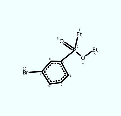 CCOP(=O)(CC)c1cccc(Br)c1